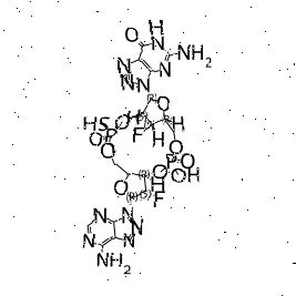 Nc1nc2c(nnn2[C@@H]2O[C@@H]3COP(=O)(O)O[C@@H]4C(COP(=O)(S)O[C@@H]2[C@H]3F)O[C@@H](n2nnc3c(N)ncnc32)[C@H]4F)c(=O)[nH]1